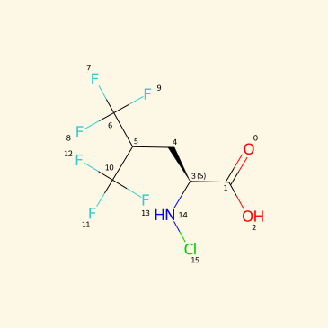 O=C(O)[C@H](CC(C(F)(F)F)C(F)(F)F)NCl